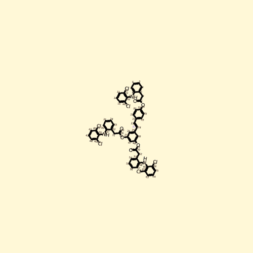 O=C(Cc1ccccc1Nc1c(Cl)cccc1Cl)Oc1ccc(/C=C/c2cc(OC(=O)Cc3ccccc3Nc3c(Cl)cccc3Cl)cc(OC(=O)Cc3ccccc3Nc3c(Cl)cccc3Cl)c2)cc1